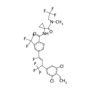 C=Cc1c(Cl)cc(C(/C=C(\F)c2ccc(C(=O)NC3(C(=O)N(C)CC(F)(F)F)CC3)c(C(F)(F)F)c2)C(F)(F)F)cc1Cl